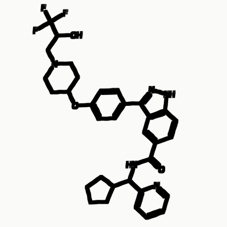 O=C(NC(c1ccccn1)C1CCCC1)c1ccc2[nH]nc(-c3ccc(OC4CCN(CC(O)C(F)(F)F)CC4)cc3)c2c1